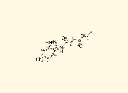 CCOC(=O)C=CC(=O)Nc1n[nH]c2cc(Cl)ccc12